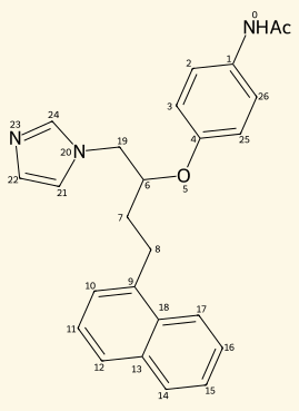 CC(=O)Nc1ccc(OC(CCc2cccc3ccccc23)Cn2ccnc2)cc1